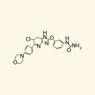 NC(=O)Nc1cccc(Oc2nc3c([nH]2)CC(Cl)C(c2ccc(N4CCOCC4)cc2)=N3)c1